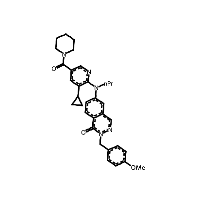 CCCN(c1ccc2c(=O)n(Cc3ccc(OC)cc3)ncc2c1)c1ncc(C(=O)N2CCCCC2)cc1C1CC1